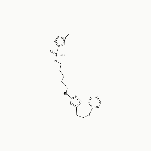 Cn1cnc(S(=O)(=O)NCCCCCNc2nc3c(s2)CCSc2ccccc2-3)c1